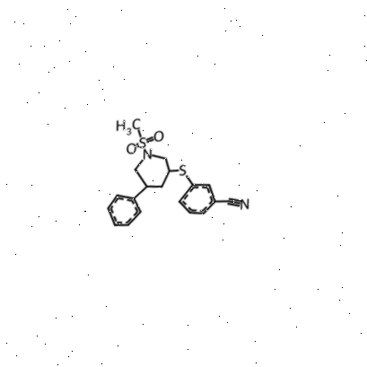 CS(=O)(=O)N1CC(Sc2cccc(C#N)c2)CC(c2ccccc2)C1